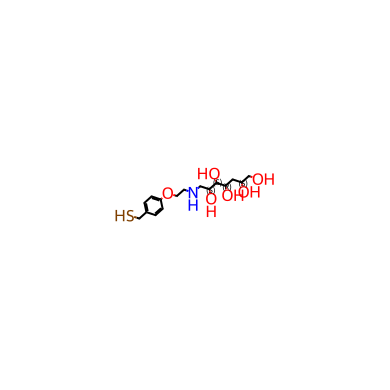 OC[C@@H](O)C[C@@H](O)[C@H](O)[C@@H](O)CNCCOc1ccc(CS)cc1